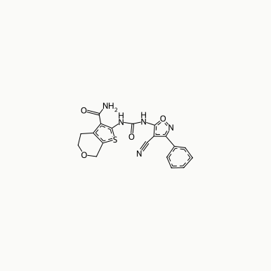 N#Cc1c(-c2ccccc2)noc1NC(=O)Nc1sc2c(c1C(N)=O)CCOC2